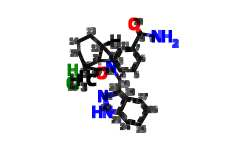 CO[C@@]1(c2cccc(C(N)=O)c2)[C@@H]2CCC[C@H]1CN(Cc1n[nH]c3ccccc13)C2.Cl